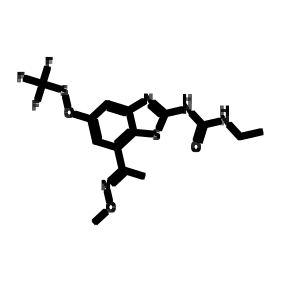 CCNC(=O)Nc1nc2cc(OSC(F)(F)F)cc(/C(C)=N/OC)c2s1